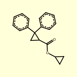 O=C(OC1CC1)C1CC1(c1ccccc1)c1ccccc1